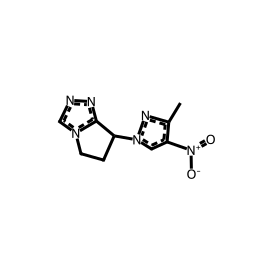 Cc1nn(C2CCn3cnnc32)cc1[N+](=O)[O-]